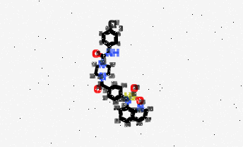 O=C(Nc1ccc(C(F)(F)F)cc1)N1CCN(C(=O)c2ccc(N(c3cccc4cccnc34)[SH](=O)=O)cc2)CC1